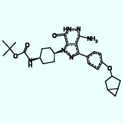 CC(C)(C)OC(=O)N[C@H]1CC[C@@H](n2nc(-c3ccc(OC4CC5CC5C4)cc3)c3c(N)n[nH]c(=O)c32)CC1